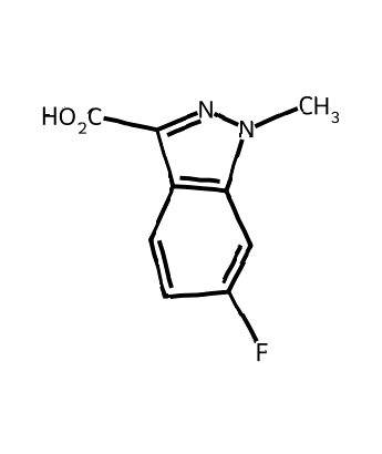 Cn1nc(C(=O)O)c2ccc(F)cc21